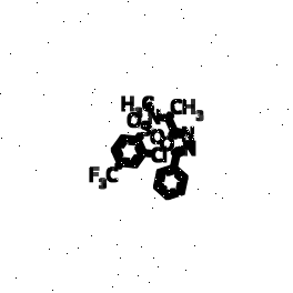 CC(c1nnc(-c2ccccc2)o1)N(C)S(=O)(=O)c1ccc(C(F)(F)F)cc1Cl